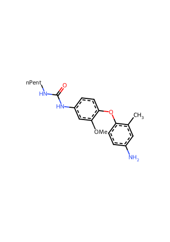 CCCCCNC(=O)Nc1ccc(Oc2ccc(N)cc2C)c(OC)c1